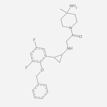 CC1(N)CCN(C(=O)CNC2CC2c2cc(F)cc(F)c2OCc2ccccc2)CC1